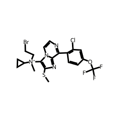 CSc1nc2c(-c3ccc(OC(F)(F)F)cc3Cl)nccn2c1[N+](C)(CCBr)C1CC1